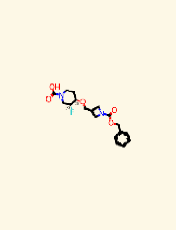 O=C(O)N1CC[C@@H](OCC2CN(C(=O)OCc3ccccc3)C2)[C@H](F)C1